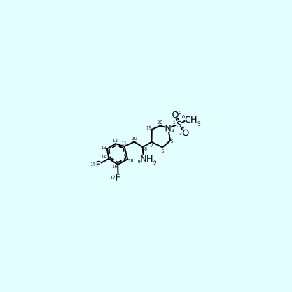 CS(=O)(=O)N1CCC(C(N)Cc2ccc(F)c(F)c2)CC1